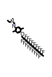 CCN(C)/C=N/c1cc(C)c(OCC(F)(F)C(F)(F)C(F)(F)C(F)(F)C(F)(F)C(F)(F)C(F)(F)C(F)(F)C(C)(F)F)cc1C